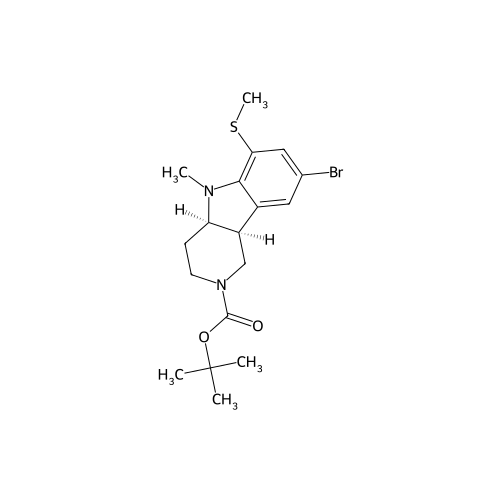 CSc1cc(Br)cc2c1N(C)[C@@H]1CCN(C(=O)OC(C)(C)C)C[C@H]21